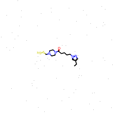 CCc1cnn(CCCCC(=O)N2CCN(CSS)CC2)c1